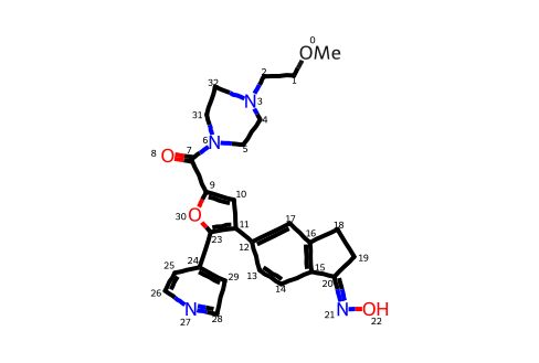 COCCN1CCN(C(=O)c2cc(-c3ccc4c(c3)CC/C4=N\O)c(-c3ccncc3)o2)CC1